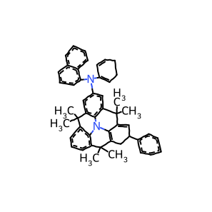 CC1(C)C2=CC(c3ccccc3)CC3=C2N2c4c1cc(N(C1=CCCC=C1)c1cccc5ccccc15)cc4C(C)(C)c1cccc(c12)C3(C)C